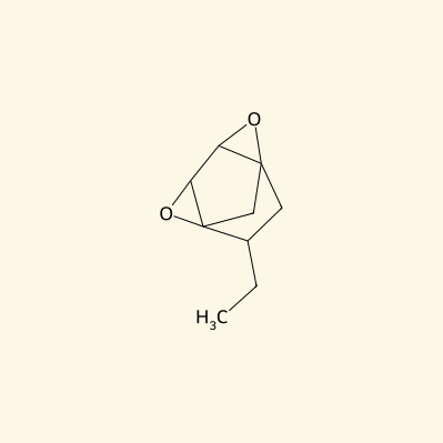 CCC1CC23CC14OC4C2O3